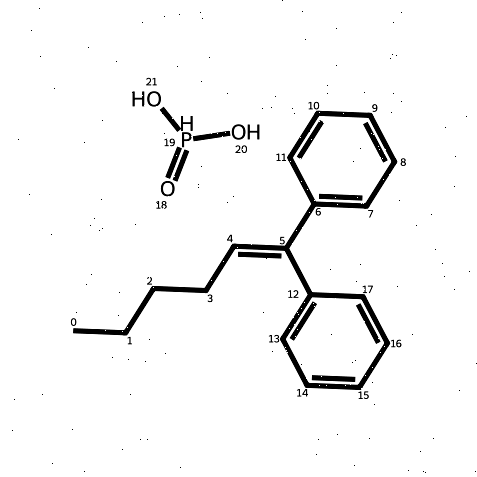 CCCCC=C(c1ccccc1)c1ccccc1.O=[PH](O)O